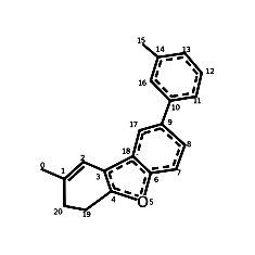 CC1=Cc2c(oc3ccc(-c4cccc(C)c4)cc23)CC1